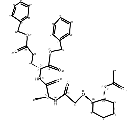 CC(=O)N[C@@H]1CCCC[C@H]1OCC(=O)N[C@@H](C)C(=O)N[C@H](CCC(=O)OCc1ccccc1)C(=O)OCc1ccccc1